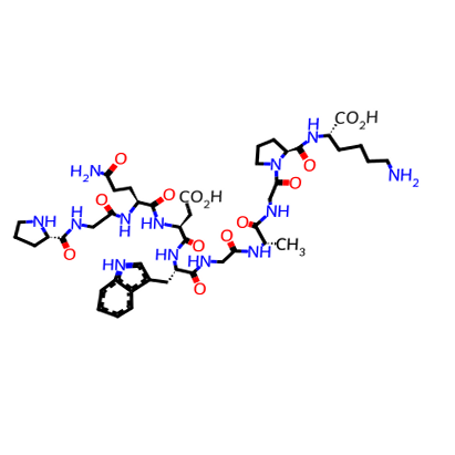 C[C@H](NC(=O)CNC(=O)[C@H](Cc1c[nH]c2ccccc12)NC(=O)[C@H](CC(=O)O)NC(=O)[C@H](CCC(N)=O)NC(=O)CNC(=O)[C@@H]1CCCN1)C(=O)NCC(=O)N1CCC[C@H]1C(=O)N[C@@H](CCCCN)C(=O)O